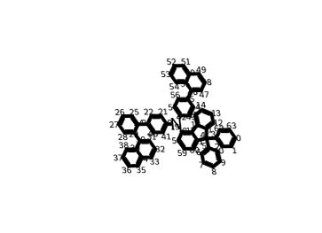 c1ccc(C2(c3ccccc3)c3ccccc3-c3c(N(c4ccc(-c5ccccc5-c5cccc6ccccc56)cc4)c4ccc(-c5cccc6ccccc56)cc4)cccc32)cc1